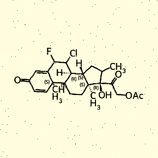 CC(=O)OCC(=O)[C@@]1(O)C(C)C[C@H]2[C@@H]3C(Cl)C(F)C4=CC(=O)C=C[C@]4(C)[C@H]3CC[C@@]21C